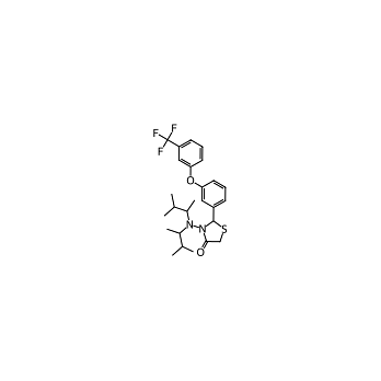 CC(C)C(C)N(C(C)C(C)C)N1C(=O)CSC1c1cccc(Oc2cccc(C(F)(F)F)c2)c1